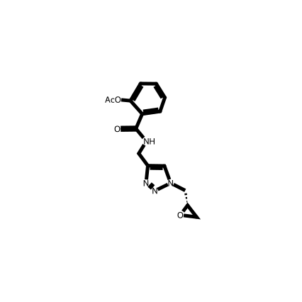 CC(=O)Oc1ccccc1C(=O)NCc1cn(C[C@@H]2CO2)nn1